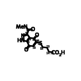 CNC(=O)c1n[nH]c2c1C(=O)C(SCCCC(=O)O)=CC2=O